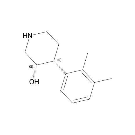 Cc1cccc([C@H]2CCNC[C@H]2O)c1C